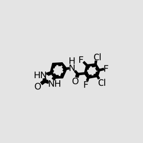 O=C(Nc1ccc2[nH]c(=O)[nH]c2c1)c1c(F)c(Cl)c(F)c(Cl)c1F